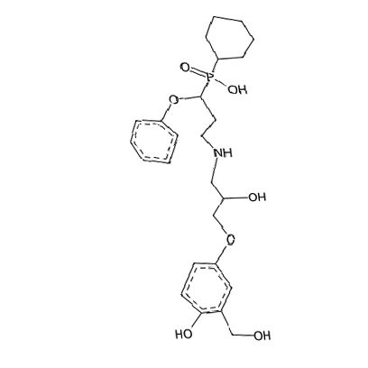 O=P(O)(C1CCCCC1)C(CCNCC(O)COc1ccc(O)c(CO)c1)Oc1ccccc1